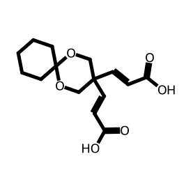 O=C(O)C=CC1(C=CC(=O)O)COC2(CCCCC2)OC1